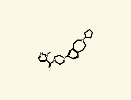 Cn1nccc1C(=O)N1CCN(c2ccc3c(c2)CCN(C2CCCC2)CC3)CC1